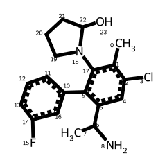 Cc1c(Cl)cc(C(C)N)c(-c2cccc(F)c2)c1N1CCCC1O